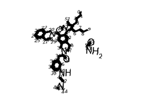 CCCCc1c(CCCC)c(-c2cc3c(cc2C(=O)N2Cc4ccccc4C[C@H]2C)CN(C(=O)Cc2cccc(NCCN(C)C)c2)CC3)n(C)c1C.NC=O